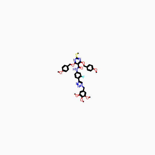 COc1ccc(COc2nc(SC)nc(OCc3ccc(OC)cc3)c2C(=O)Nc2ccc(-c3cn(Cc4cc(OC)c(OC)c(OC)c4)nn3)c(F)c2)cc1